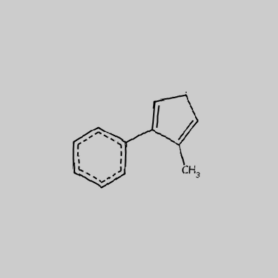 CC1=C[CH]C=C1c1ccccc1